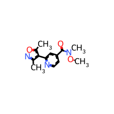 CON(C)C(=O)c1ccnc(-c2c(C)noc2C)c1